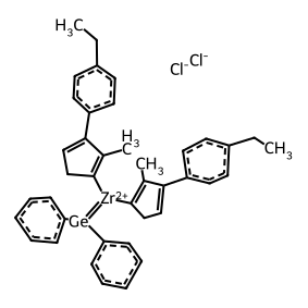 CCc1ccc(C2=CC[C]([Zr+2]([C]3=C(C)C(c4ccc(CC)cc4)=CC3)=[Ge]([c]3ccccc3)[c]3ccccc3)=C2C)cc1.[Cl-].[Cl-]